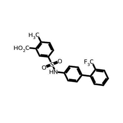 Cc1ccc(S(=O)(=O)Nc2ccc(-c3ccccc3C(F)(F)F)cc2)cc1C(=O)O